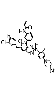 C=CC(=O)Nc1cccc(-n2c(=O)c(Cc3ccc(F)c(Cl)c3)cc3cnc(Nc4ccc(N5CCC(N(C)C)CC5)cc4C)nc32)c1